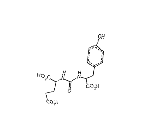 O=C(O)CCC(NC(=O)NC(Cc1ccc(O)cc1)C(=O)O)C(=O)O